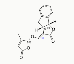 CC1=CC(=O)O[C@H]1O/C=C1/C(=O)O[C@H]2c3ccccc3C[C@@H]12